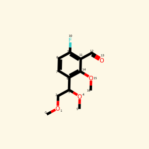 COCC(OC)c1ccc(F)c(C=O)c1OC